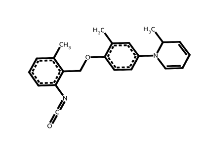 Cc1cc(N2C=CC=CC2C)ccc1OCc1c(C)cccc1N=C=O